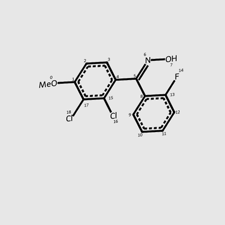 COc1ccc(C(=NO)c2ccccc2F)c(Cl)c1Cl